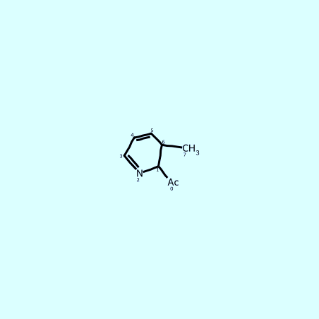 CC(=O)C1N=CC=CC1C